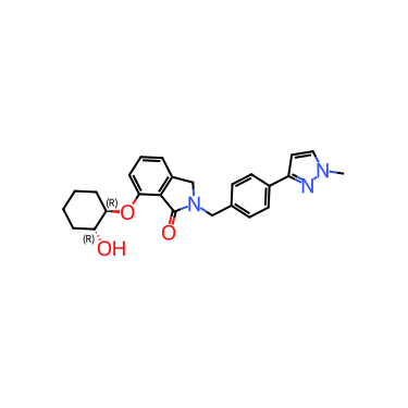 Cn1ccc(-c2ccc(CN3Cc4cccc(O[C@@H]5CCCC[C@H]5O)c4C3=O)cc2)n1